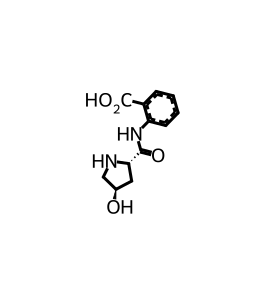 O=C(O)c1ccccc1NC(=O)[C@@H]1C[C@@H](O)CN1